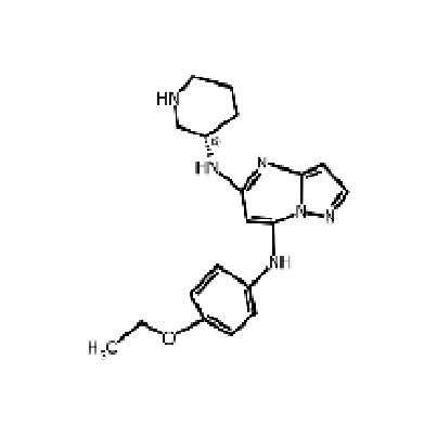 CCOc1ccc(Nc2cc(N[C@H]3CCCNC3)nc3ccnn23)cc1